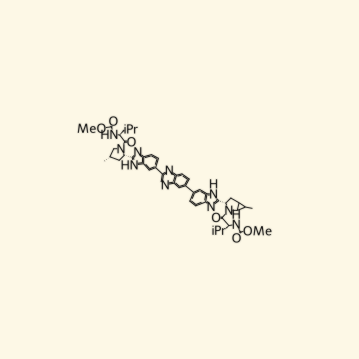 COC(=O)N[C@H](C(=O)N1C[C@@H](C)C[C@H]1c1nc2ccc(-c3cnc4cc(-c5ccc6nc([C@@H]7CC8C(C)C8N7C(=O)[C@@H](NC(=O)OC)C(C)C)[nH]c6c5)ccc4n3)cc2[nH]1)C(C)C